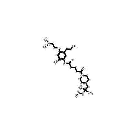 CCCc1cc(OC(=O)CCCC(=O)N2CCN(CC(C)(C)SN=O)CC2)c(C)cc1OCCN(C)C